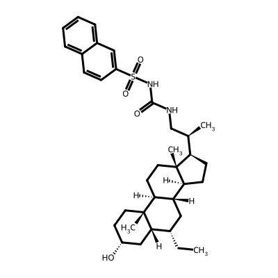 CC[C@H]1C[C@@H]2[C@H](CC[C@]3(C)[C@@H]([C@H](C)CNC(=O)NS(=O)(=O)c4ccc5ccccc5c4)CC[C@@H]23)[C@@]2(C)CC[C@@H](O)C[C@@H]12